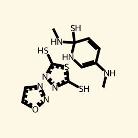 CNC1=CNC(S)(NC)C=C1.Sc1nnc(S)s1.c1conn1